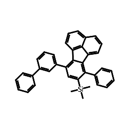 C[Si](C)(C)c1cc(-c2cccc(-c3ccccc3)c2)c2c(c1-c1ccccc1)-c1cccc3cccc-2c13